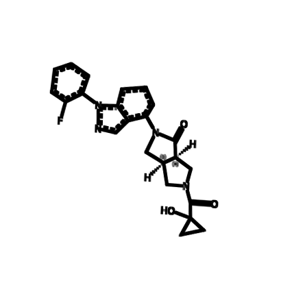 O=C1[C@H]2CN(C(=O)C3(O)CC3)C[C@H]2CN1c1cccc2c1cnn2-c1ccccc1F